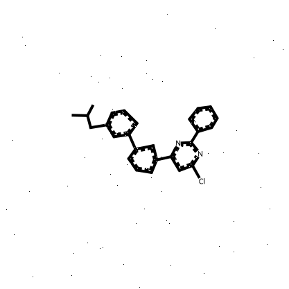 CC(C)Cc1cccc(-c2cccc(-c3cc(Cl)nc(-c4ccccc4)n3)c2)c1